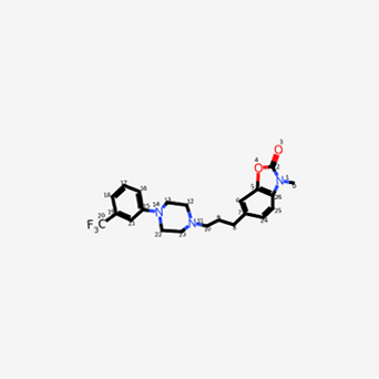 Cn1c(=O)oc2cc(CCCN3CCN(c4cccc(C(F)(F)F)c4)CC3)ccc21